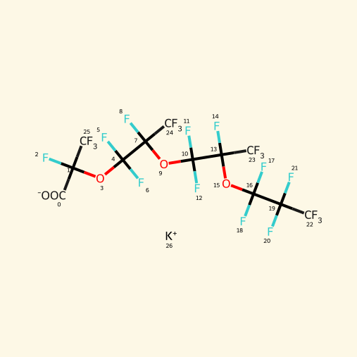 O=C([O-])C(F)(OC(F)(F)C(F)(OC(F)(F)C(F)(OC(F)(F)C(F)(F)C(F)(F)F)C(F)(F)F)C(F)(F)F)C(F)(F)F.[K+]